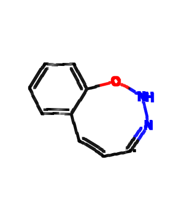 [c]1ccc2ccccc2o[nH]n1